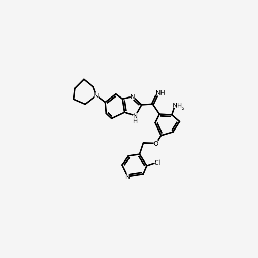 N=C(c1nc2cc(N3CCCCC3)ccc2[nH]1)c1cc(OCc2ccncc2Cl)ccc1N